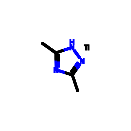 Cc1n[nH]c(C)n1.[Ti]